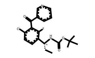 CC[C@@H](NC(=O)OC(C)(C)C)c1ccc(Cl)c(C(=O)c2cccnc2)c1F